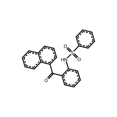 O=C(c1ccccc1NS(=O)(=O)c1ccccc1)c1cccc2ccccc12